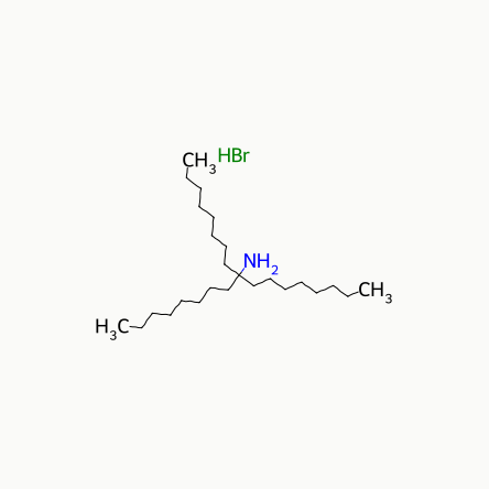 Br.CCCCCCCCC(N)(CCCCCCCC)CCCCCCCC